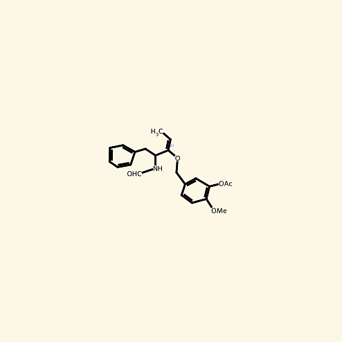 C/C=C(/OCc1ccc(OC)c(OC(C)=O)c1)C(Cc1ccccc1)NC=O